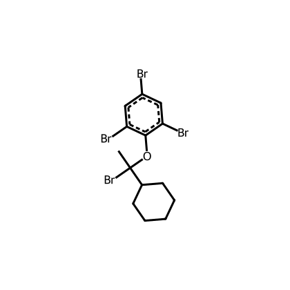 CC(Br)(Oc1c(Br)cc(Br)cc1Br)C1CCCCC1